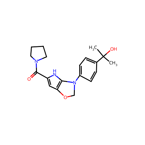 CC(C)(O)c1ccc(N2COc3cc(C(=O)N4CCCC4)[nH]c32)cc1